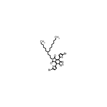 CCCCCCCCC(CCCCCC)CCCN1C(=O)c2c(c(-c3ccc(Br)s3)c3nsnc3c2-c2ccc(Br)s2)C1=O